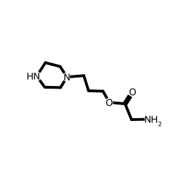 NCC(=O)OCCCN1CCNCC1